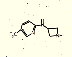 FC(F)(F)c1ccc(NC2CNC2)nc1